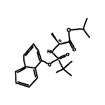 CC(C)OC(=O)[C@H](C)NP(=O)(Oc1cccc2ccccc12)C(C)(C)C